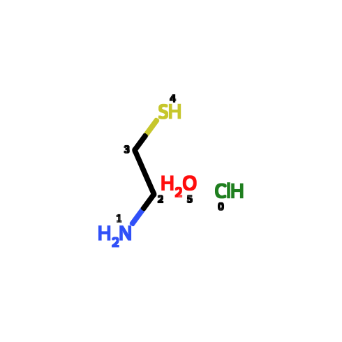 Cl.NCCS.O